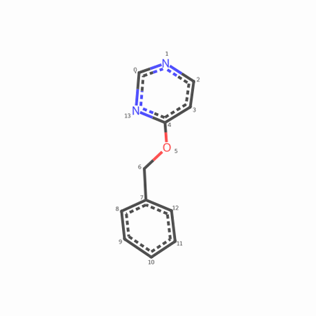 [c]1nccc(OCc2ccccc2)n1